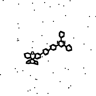 C1=CCC2Oc3cc(-c4ccc(-c5ccc(-c6cc(-c7ccccc7)nc(-c7ccccc7)n6)cc5)cc4)ccc3C3(C2=C1)c1ccccc1-c1ccccc13